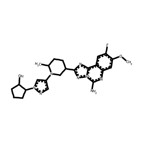 COc1cc2nc(N)n3nc(C4CCC(C)N(c5cnn(C6CCCC6O)c5)C4)nc3c2cc1F